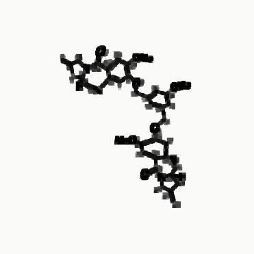 C=C1C[C@H]2C=Nc3cc(OCc4cc(COc5cc6c(cc5OC)C(=O)N5CC(=C)C[C@H]5C=N6)cc(OC)c4)c(OC)cc3C(=O)N2C1